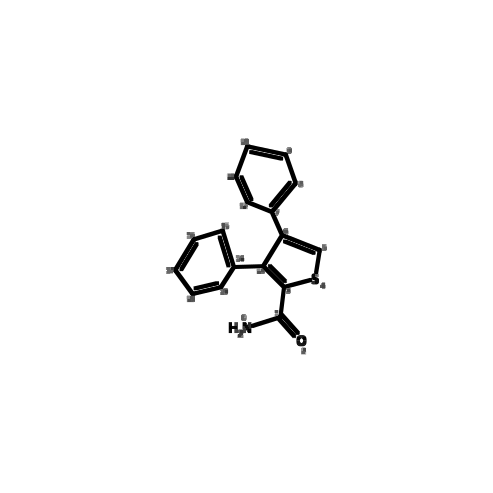 NC(=O)c1scc(-c2ccccc2)c1-c1ccccc1